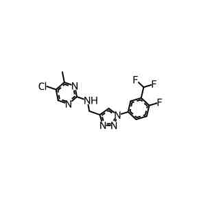 Cc1nc(NCc2cn(-c3ccc(F)c(C(F)F)c3)nn2)ncc1Cl